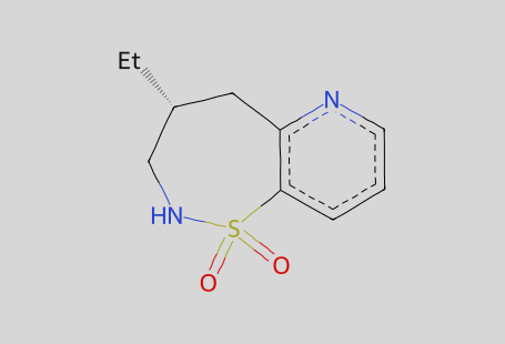 CC[C@H]1CNS(=O)(=O)c2cccnc2C1